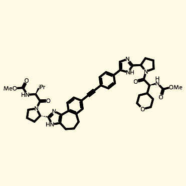 COC(=O)N[C@H](C(=O)N1CCC[C@H]1c1nc2c([nH]1)CCCc1cc(C#Cc3ccc(-c4cnc(C5CCCN5C(=O)[C@@H](NC(=O)OC)C5CCOCC5)[nH]4)cc3)ccc1-2)C(C)C